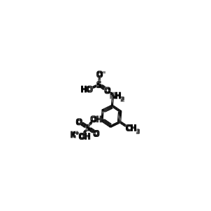 Cc1cccc(N)c1.O=S(=O)(O)O.O=S([O-])O.[K+]